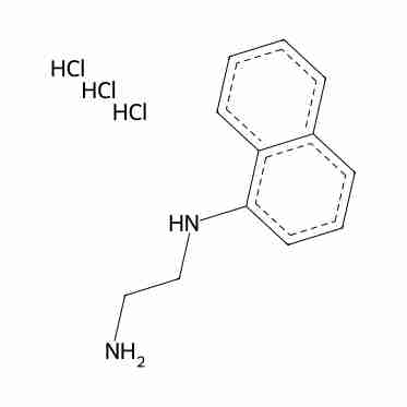 Cl.Cl.Cl.NCCNc1cccc2ccccc12